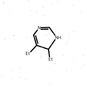 CCC1=CN=CNC1CC